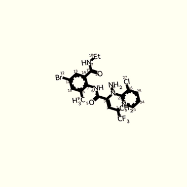 C=C(/C=C(/C(=O)Nc1c(C)cc(Br)cc1C(=O)NCC)N(N)c1ncccc1Cl)C(F)(F)F